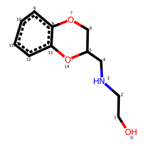 OCCNCC1COc2cc[c]cc2O1